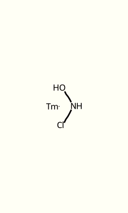 ONCl.[Tm]